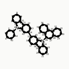 c1ccc(-n2c3ccccc3c3ccc(-c4ccc5c6ccccc6n(-c6cc7ccccc7c7ccccc67)c5c4)cc32)cc1